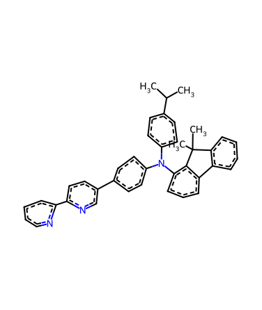 CC(C)c1ccc(N(c2ccc(-c3ccc(-c4ccccn4)nc3)cc2)c2cccc3c2C(C)(C)c2ccccc2-3)cc1